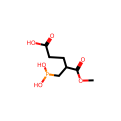 COC(=O)C(CCC(=O)O)CP(O)O